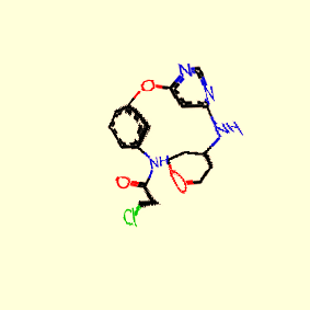 O=C(CCl)Nc1cccc(Oc2cc(NC3CCOCC3)ncn2)c1